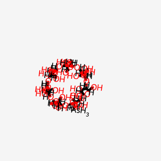 OC[C@H]1O[C@@H]2O[C@H]3[C@H](O)[C@@H](O)[C@@H](O[C@H]4[C@H](O)[C@@H](O)[C@@H](O[C@H]5[C@H](O)[C@@H](O)[C@@H](O[C@H]6[C@H](O)[C@@H](O)[C@@H](O[C@H]7[C@H](O)[C@@H](O)[C@@H](O[C@H]8[C@H](O)[C@@H](O)[C@@H](O[C@H]1[C@H](O)[C@H]2O)O[C@@H]8CO)O[C@@H]7CO)O[C@@H]6CO)O[C@@H]5CO)O[C@@H]4CO)O[C@@H]3CO.[AsH3]